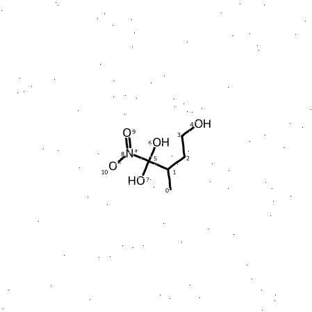 CC(CCO)C(O)(O)[N+](=O)[O-]